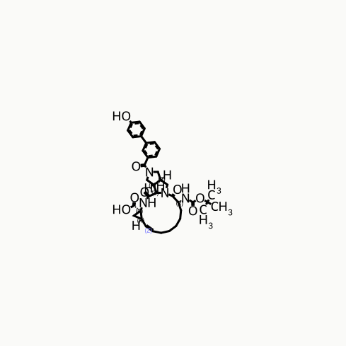 CC(C)(C)OC(=O)N[C@@H]1CCCCC/C=C\[C@H]2C[C@@]2(C(=O)O)NC(=O)[C@@H]2[C@H]3CN(C(=O)c4cccc(-c5ccc(O)cc5)c4)C[C@H]3CN2C1=O